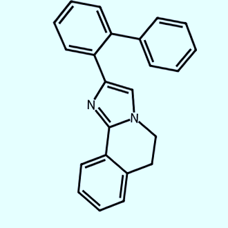 c1ccc(-c2ccccc2-c2cn3c(n2)-c2ccccc2CC3)cc1